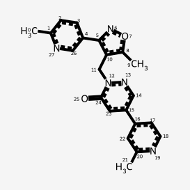 Cc1ccc(-c2noc(C)c2Cn2ncc(-c3ccnc(C)c3)cc2=O)cn1